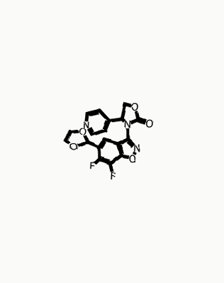 O=C1OCC(c2ccncc2)N1c1noc2c(F)c(F)c(C3OCCO3)cc12